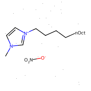 CCCCCCCCCCCC[n+]1ccn(C)c1.O=[N+]([O-])[O-]